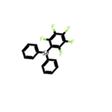 Fc1c(F)c(F)c([Se](c2ccccc2)c2ccccc2)c(F)c1F